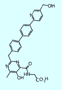 Cc1nc(Cc2ccc(-c3ccc(-c4ccc(CO)cn4)cc3)cc2)nc(C(=O)NCC(=O)O)c1O